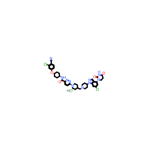 Cl.N#Cc1ccc(O[C@H]2CC[C@H](NC(=O)c3ccc(N4CCC(CN5CCC(n6ncc7c(N8CCC(=O)NC8=O)cc(Cl)cc76)CC5)CC4)nn3)CC2)cc1Cl